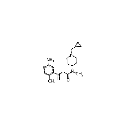 Cc1cnc(N)nc1NCC(=O)N(C)C1CCN(CC2CC2)CC1